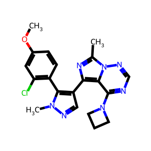 COc1ccc(-c2c(-c3nc(C)n4ncnc(N5CCC5)c34)cnn2C)c(Cl)c1